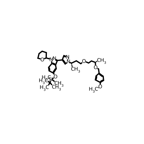 COc1ccc(CO[C@H](C)CCOCC[C@@H](C)n2cc(-c3nn(C4CCCCO4)c4ccc(O[Si](C)(C)C(C)(C)C)cc34)cn2)cc1